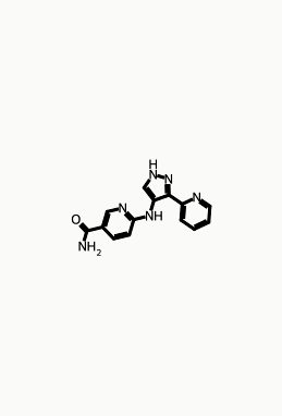 NC(=O)c1ccc(Nc2c[nH]nc2-c2ccccn2)nc1